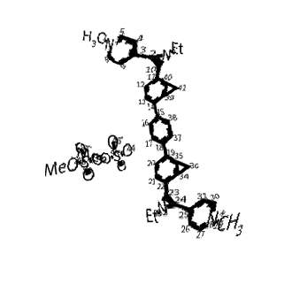 CCN1C(c2cc[n+](C)cc2)=C1c1ccc(-c2ccc(-c3ccc(C4=C(c5cc[n+](C)cc5)N4CC)c4c3C4)cc2)c2c1C2.COS(=O)(=O)[O-].COS(=O)(=O)[O-]